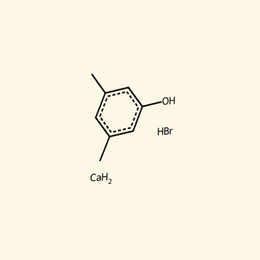 Br.Cc1cc(C)cc(O)c1.[CaH2]